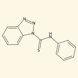 S=C(Nc1ccccc1)n1nnc2ccccc21